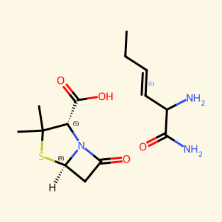 CC/C=C/C(N)C(N)=O.CC1(C)S[C@@H]2CC(=O)N2[C@H]1C(=O)O